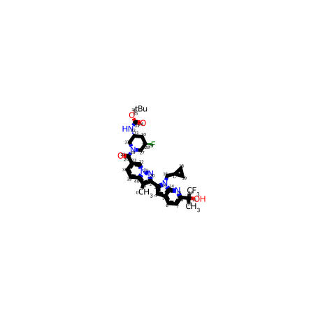 Cc1c(-c2cc3ccc(C(C)(O)C(F)(F)F)nc3n2CC2CC2)nn2cc(C(=O)N3C[C@H](F)C[C@@H](NC(=O)OC(C)(C)C)C3)ccc12